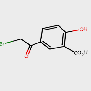 O=C(CBr)c1ccc(O)c(C(=O)O)c1